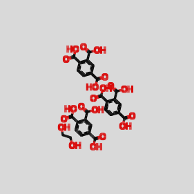 O=C(O)c1ccc(C(=O)O)c(C(=O)O)c1.O=C(O)c1ccc(C(=O)O)c(C(=O)O)c1.O=C(O)c1ccc(C(=O)O)c(C(=O)O)c1.OCCO